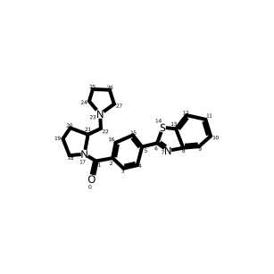 O=C(c1ccc(-c2nc3ccccc3s2)cc1)N1CCCC1CN1CCCC1